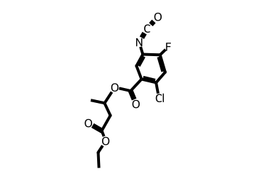 CCOC(=O)CC(C)OC(=O)c1cc(N=C=O)c(F)cc1Cl